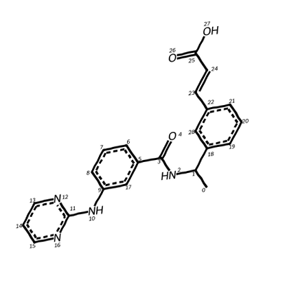 CC(NC(=O)c1cccc(Nc2ncccn2)c1)c1cccc(C=CC(=O)O)c1